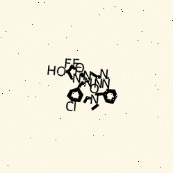 CCN(CC)C(=O)c1ccccc1-n1cnc(Cn2nc(-c3ccc(Cl)cc3)n(CC(O)C(F)(F)F)c2=O)n1